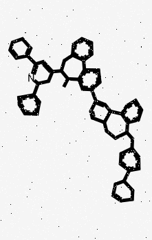 CC1c2cc(C3=CC4c5ccccc5C(Cc5ccc(C6CC=CCC6)cc5)CCC4C=C3)ccc2-c2ccccc2CC1C1=CC(C2=CCCC=C2)=NC(c2ccccc2)C1